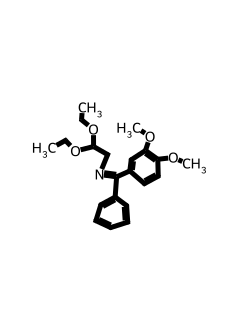 CCOC(CN=C(c1ccccc1)c1ccc(OC)c(OC)c1)OCC